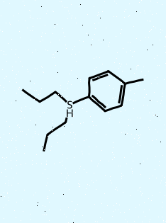 CCC[SH](CCC)c1ccc(C)cc1